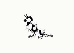 COP(=O)(O)/C=C/[C@H]1O[C@@H](n2ccc(=O)[nH]c2=O)[C@H](F)[C@@H]1OC(C)C